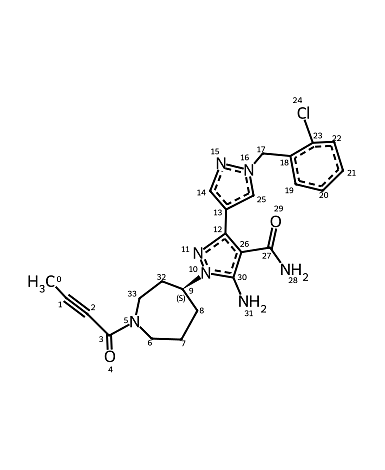 CC#CC(=O)N1CCC[C@H](n2nc(-c3cnn(Cc4ccccc4Cl)c3)c(C(N)=O)c2N)CC1